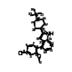 COc1cc(Cl)ccc1-c1ccnc2[nH]c(C3CCN(C(C)(C)C)CC3)cc12